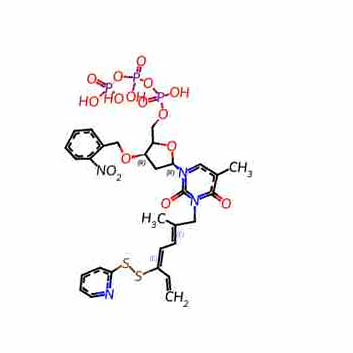 C=C/C(=C\C=C(/C)Cn1c(=O)c(C)cn([C@H]2C[C@@H](OCc3ccccc3[N+](=O)[O-])C(COP(=O)(O)OP(=O)(O)OP(=O)(O)O)O2)c1=O)SSc1ccccn1